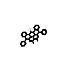 Cc1cc2c3c4c5c(cc(C)c14)C(c1ccccc1)c1ccccc1C5C(=O)C3c1ccccc1C2c1ccccc1